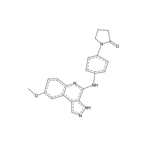 COc1ccc2nc(Nc3ccc(N4CCCC4=O)cc3)c3[nH]ncc3c2c1